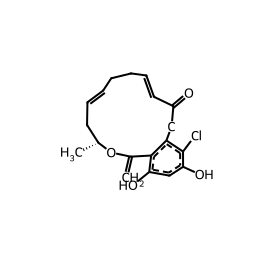 C=C1O[C@H](C)C/C=C/CC/C=C/C(=O)Cc2c(Cl)c(O)cc(O)c21